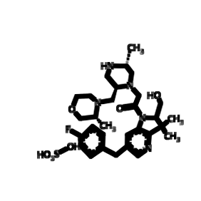 C[C@@H]1CN(CC(=O)N2c3cc(Cc4ccc(F)cc4)cnc3C(C)(C)C2CO)[C@@H](CN2CCOC[C@H]2C)CN1.O=S(=O)(O)O